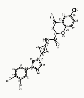 O=C1C[C@H](C(=O)NC23CC(n4cnc(-c5ccc(F)c(F)c5)c4)(C2)C3)Oc2ccc(Cl)cc21